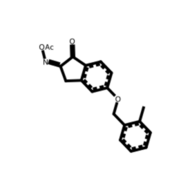 CC(=O)O/N=C1/Cc2cc(OCc3ccccc3C)ccc2C1=O